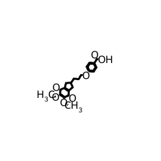 COC1=C(OC)C(=O)C2=C(CC(CCCOc3ccc(C(=O)O)cc3)C2)C1=O